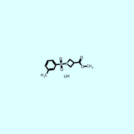 COC(=O)C1CN(S(=O)(=O)c2cccc(C)c2)C1.[LiH]